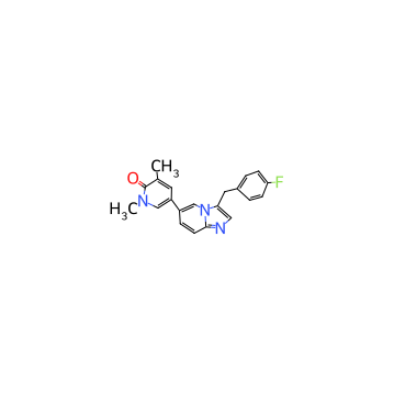 Cc1cc(-c2ccc3ncc(Cc4ccc(F)cc4)n3c2)cn(C)c1=O